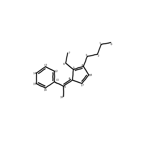 CCCCC1=C(CC)C(=C(C)c2ccccc2)C=C1